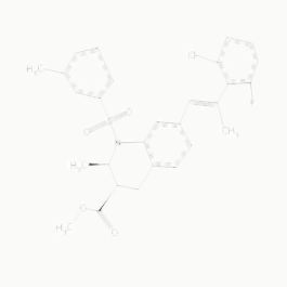 COC(=O)[C@@H]1Cc2ccc(/C=C(\C)c3c(F)cccc3Cl)cc2N(S(=O)(=O)c2cccc(C)c2)[C@@H]1C